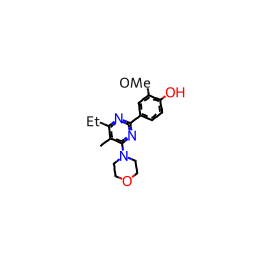 CCc1nc(-c2ccc(O)c(OC)c2)nc(N2CCOCC2)c1C